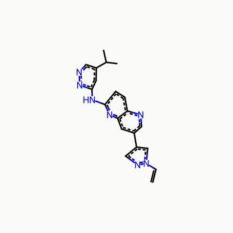 C=Cn1cc(-c2cnc3ccc(Nc4cc(C(C)C)cnn4)nc3c2)cn1